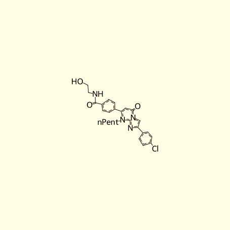 CCCCCn1c(-c2ccc(C(=O)NCCO)cc2)cc(=O)n2cc(-c3ccc(Cl)cc3)nc12